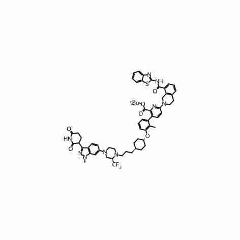 Cc1c(O[C@H]2CC[C@H](CCCN3CCN(c4ccc5c(C6CCC(=O)NC6=O)nn(C)c5c4)C[C@@H]3C(F)(F)F)CC2)cccc1-c1ccc(N2CCc3cccc(C(=O)Nc4nc5ccccc5s4)c3C2)nc1C(=O)OC(C)(C)C